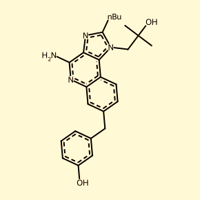 CCCCc1nc2c(N)nc3cc(Cc4cccc(O)c4)ccc3c2n1CC(C)(C)O